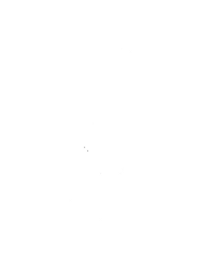 Cc1ccoc1C(=O)N(C)c1ccc(C(=O)O)cc1